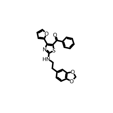 O=C(c1ccccc1)c1sc(NCCc2ccc3c(c2)OCO3)nc1-c1ccco1